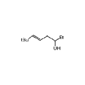 CCC(O)CC=CC(C)(C)C